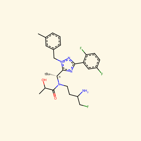 Cc1cccc(Cn2nc(-c3cc(F)ccc3F)nc2[C@H](N(CCC(N)CF)C(=O)C(C)O)C(C)(C)C)c1